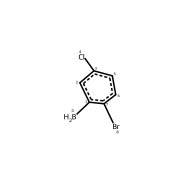 Bc1cc(Cl)ccc1Br